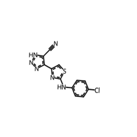 N#Cc1[nH]nnc1-c1csc(Nc2ccc(Cl)cc2)n1